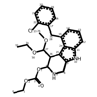 CCOC(=O)OC1NCc2[nH]c3cccc(Cc4ccccc4Cl)c3c2C1C(OC)OCC